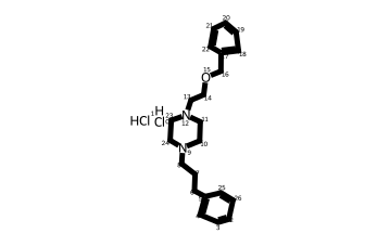 Cl.Cl.c1ccc(CCCN2CCN(CCOCc3ccccc3)CC2)cc1